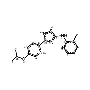 Cc1cccnc1Nc1nc(-c2ccc(OC(C)C)cn2)ns1